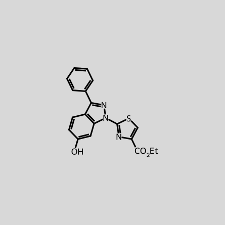 CCOC(=O)c1csc(-n2nc(-c3ccccc3)c3ccc(O)cc32)n1